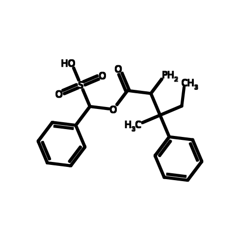 CCC(C)(c1ccccc1)C(P)C(=O)OC(c1ccccc1)S(=O)(=O)O